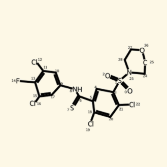 O=S(=O)(c1cc(C(=S)Nc2cc(Cl)c(F)c(Cl)c2)c(Cl)cc1Cl)N1CCOCC1